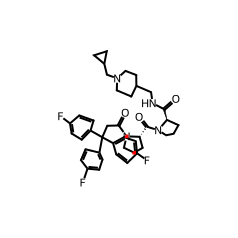 O=C(NCC1CCN(CC2CC2)CC1)[C@H]1CCCN1C(=O)[C@@H]1CCCN1C(=O)CC(c1ccc(F)cc1)(c1ccc(F)cc1)c1ccc(F)cc1